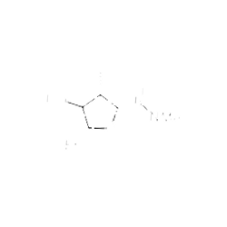 CC[C@H]1O[C@@H](BNC)[C@@H](C)C1O